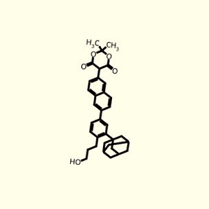 CC1(C)OC(=O)C(c2ccc3cc(-c4ccc(CCCO)c(C56CC7CC(CC(C7)C5)C6)c4)ccc3c2)C(=O)O1